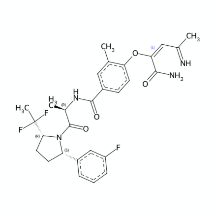 CC(=N)/C=C(/Oc1ccc(C(=O)N[C@H](C)C(=O)N2[C@H](c3cccc(F)c3)CC[C@@H]2C(C)(F)F)cc1C)C(N)=O